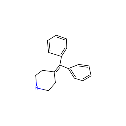 c1ccc(C(=C2CC[N]CC2)c2ccccc2)cc1